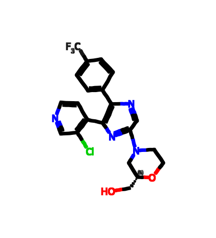 OC[C@@H]1CN(c2cnc(-c3ccc(C(F)(F)F)cc3)c(-c3ccncc3Cl)n2)CCO1